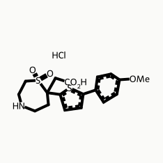 COc1ccc(-c2ccc(C3(CC(=O)O)CCNCCS3(=O)=O)s2)cc1.Cl